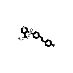 CC(=O)c1ccncc1S(=O)(=O)c1ccc(C=Cc2ccc(F)cc2)cc1